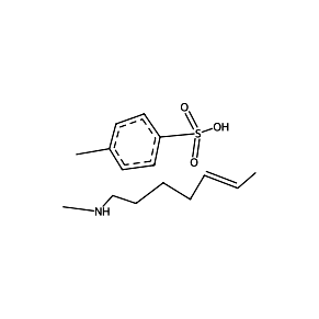 C/C=C/CCCCNC.Cc1ccc(S(=O)(=O)O)cc1